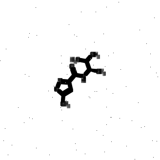 Cc1cc(C(=O)N[C@H](C)C(C)C)no1